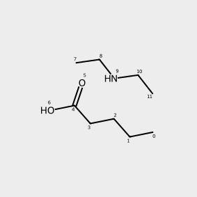 CCCCC(=O)O.CCNCC